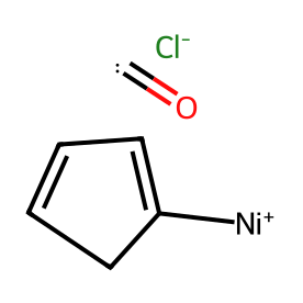 [C]=O.[Cl-].[Ni+][C]1=CC=CC1